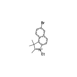 CC[N+]1=C(C)C(C)(C)c2c1ccc1cc(Br)ccc21